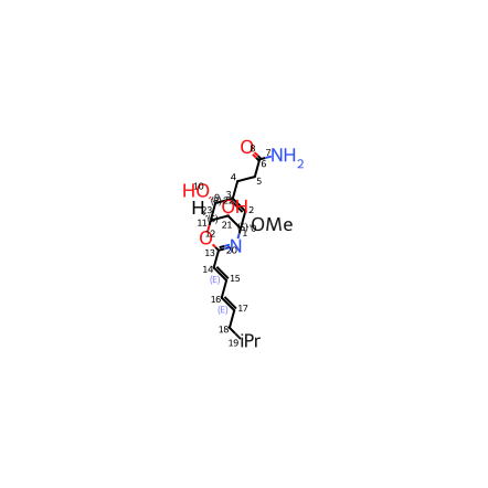 CO[C@]12C=C(CCC(N)=O)[C@@H](O)[C@H](OC(/C=C/C=C/CC(C)C)=N1)C2O